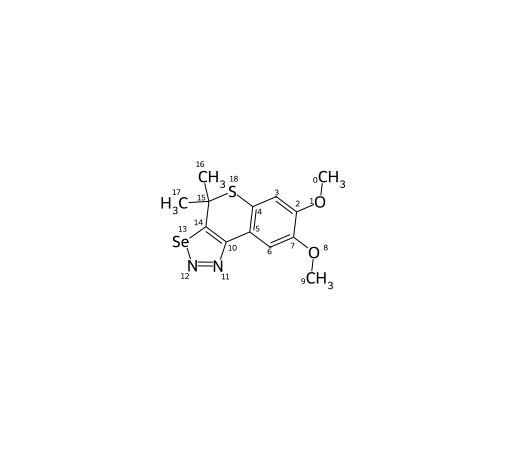 COc1cc2c(cc1OC)-c1nn[se]c1C(C)(C)S2